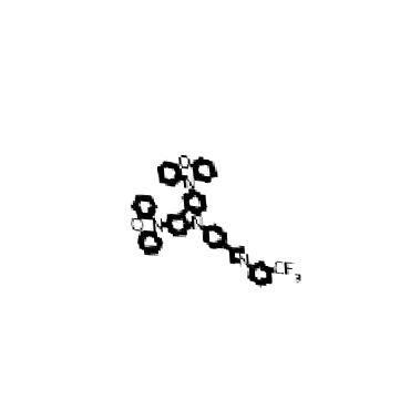 FC(F)(F)c1cccc(N2CC(c3ccc(-n4c5ccc(N6c7ccccc7Oc7ccccc76)cc5c5cc(N6c7ccccc7Oc7ccccc76)ccc54)cc3)C2)c1